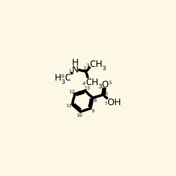 CNC(C)C.O=C(O)c1ccccc1